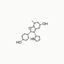 Cc1cc(O)cc2c(-c3ccc[nH]3)c(-c3ccc(O)cc3)oc12